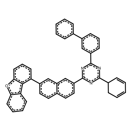 C1=CCC(c2nc(-c3cccc(-c4ccccc4)c3)nc(-c3ccc4ccc(-c5cccc6oc7ccccc7c56)cc4c3)n2)C=C1